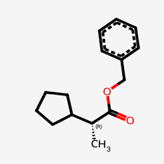 C[C@@H](C(=O)OCc1ccccc1)C1CCCC1